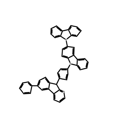 c1ccc(-c2ccc3c(c2)-c2cccnc2C3c2ccc(-n3c4ccccc4c4cc(-n5c6ccccc6c6ccccc65)ccc43)cc2)cc1